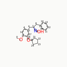 COc1ccc(CC(Cc2ccccc2)=NO)cc1OC1CCCC1